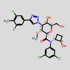 CO[C@@H]1[C@@H](n2cc(-c3cc(F)c(C)c(F)c3)nn2)[C@@H](O)[C@@H](CO)O[C@H]1C(=O)N(c1cc(Cl)cc(Cl)c1)[C@@H]1CC[C@H]1O